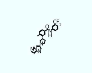 Cc1ccc(C(=O)Nc2cccc(C(F)(F)F)c2)cc1[C@@H]1CCN(c2cnc3ccnn3c2)C1